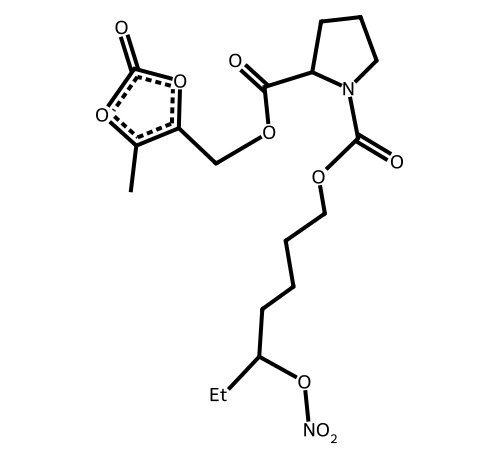 CCC(CCCCOC(=O)N1CCCC1C(=O)OCc1oc(=O)oc1C)O[N+](=O)[O-]